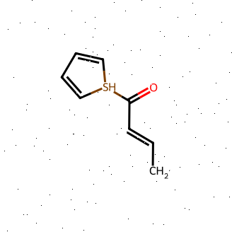 [CH2]C=CC(=O)[SH]1C=CC=C1